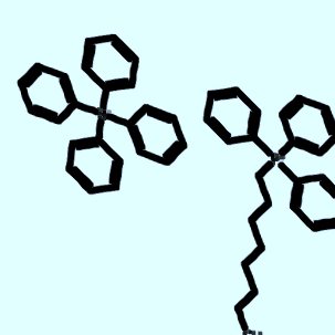 CCCCCCCC[P+](c1ccccc1)(c1ccccc1)c1ccccc1.c1ccc([B-](c2ccccc2)(c2ccccc2)c2ccccc2)cc1